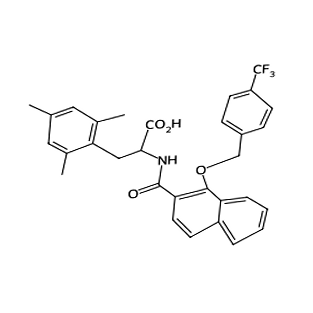 Cc1cc(C)c(CC(NC(=O)c2ccc3ccccc3c2OCc2ccc(C(F)(F)F)cc2)C(=O)O)c(C)c1